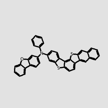 c1ccc(N(c2ccc3c(c2)oc2ccccc23)c2ccc3c(c2)sc2ccc4c5cc6ccccc6cc5sc4c23)cc1